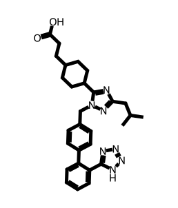 CC(C)Cc1nc(C2CCC(CCC(=O)O)CC2)n(Cc2ccc(-c3ccccc3-c3nnn[nH]3)cc2)n1